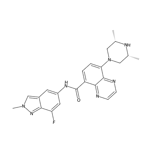 C[C@@H]1CN(c2ccc(C(=O)Nc3cc(F)c4nn(C)cc4c3)c3nccnc23)C[C@H](C)N1